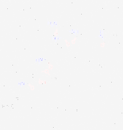 C/C(=C/c1ccc(C#N)cc1)C(=O)Nc1ccc(C(=O)NC(CC(N)=O)C(=O)Nc2ccc(C(=O)Nc3ccc(C(=O)Nc4ccc(C(=O)O)cc4)c(O)c3OC(C)C)cc2)cc1